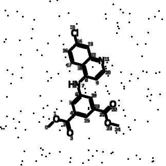 COC(=O)c1cc(Nc2ccnc3cc(Cl)ccc23)cc(C(=O)OC)c1